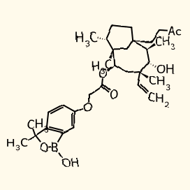 C=C[C@]1(C)C[C@@H](OC(=O)COc2ccc3c(c2)B(O)OC3(C)C)[C@@]2(C)C[C@](CCC(C)=O)(CC[C@H]2C)[C@@H](C)[C@@H]1O